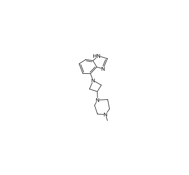 CN1CCN(C2CN(c3cccc4[nH]cnc34)C2)CC1